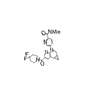 CNC(=O)c1ccc(N2CC3CC3c3cc(C(=O)N4CCC(F)(F)CC4)cnc32)cn1